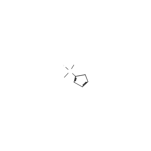 [CH3][Zr]([CH3])([F])[C]1=CC=CC1